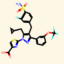 NS(=O)(=O)c1ccc(Cc2c(-c3cccc(OC(F)(F)F)c3)nn(-c3nc(C(=O)O)cs3)c2CC2CC2)cc1F